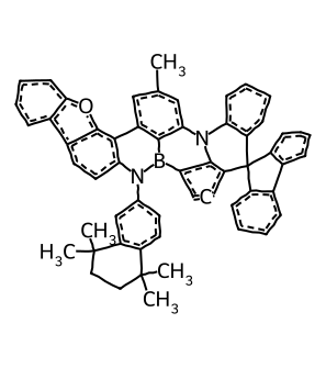 Cc1cc2c3c(c1)N1c4ccccc4C4(c5ccccc5-c5ccccc54)c4cccc(c41)B3N(c1ccc3c(c1)C(C)(C)CCC3(C)C)c1ccc3c(oc4ccccc43)c1-2